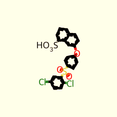 O=S(=O)(O)c1cccc2ccc(Oc3ccc(S(=O)(=O)c4cc(Cl)ccc4Cl)cc3)cc12